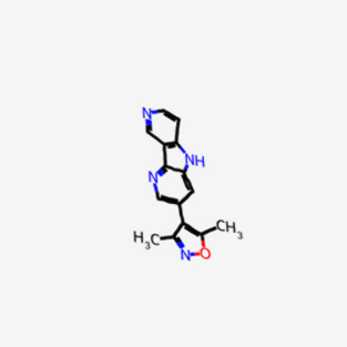 Cc1noc(C)c1-c1cnc2c(c1)[nH]c1ccncc12